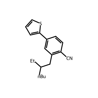 CCCCC(CC)Cc1cc(-c2cccs2)ccc1C#N